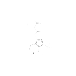 CO[C@H](C(F)F)C(F)Cn1nc(C(F)(F)F)c2c1CCC(F)(F)[C@H]2O